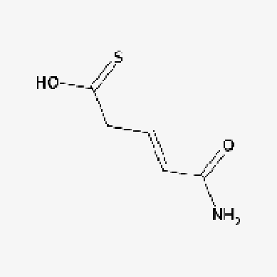 NC(=O)/C=C/CC(O)=S